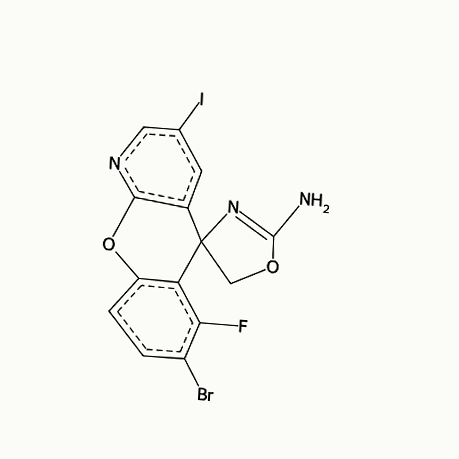 NC1=NC2(CO1)c1cc(I)cnc1Oc1ccc(Br)c(F)c12